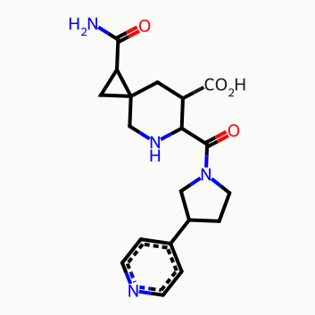 NC(=O)C1CC12CNC(C(=O)N1CCC(c3ccncc3)C1)C(C(=O)O)C2